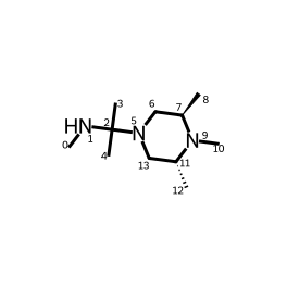 CNC(C)(C)N1C[C@@H](C)N(C)[C@H](C)C1